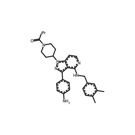 Cc1ccc(CNc2nccc3c2c(-c2ccc(N)cc2)nn3C2CCN(C(=O)C(C)C)CC2)cc1C